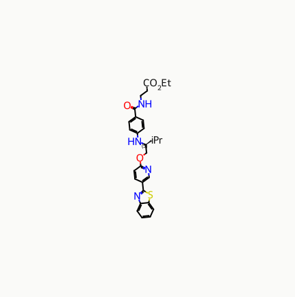 CCOC(=O)CCNC(=O)c1ccc(N[C@H](COc2ccc(-c3nc4ccccc4s3)cn2)C(C)C)cc1